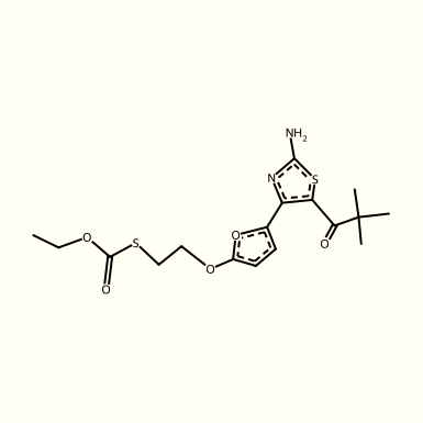 CCOC(=O)SCCOc1ccc(-c2nc(N)sc2C(=O)C(C)(C)C)o1